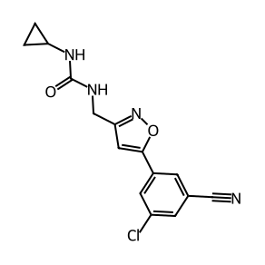 N#Cc1cc(Cl)cc(-c2cc(CNC(=O)NC3CC3)no2)c1